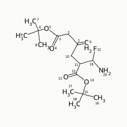 C=C(CC(=O)OC(C)(C)C)CC(C(=O)OC(C)(C)C)C(N)F